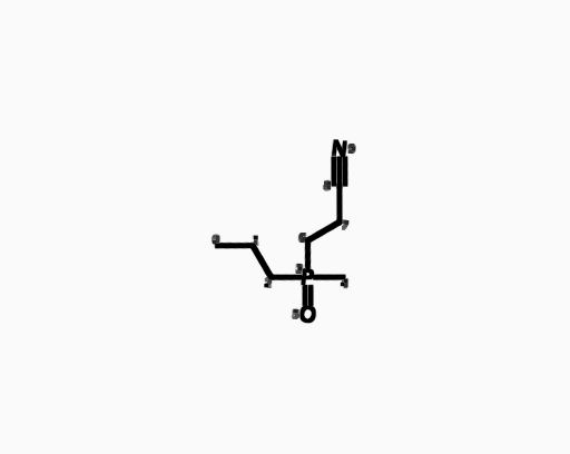 CCCP(C)(=O)CCC#N